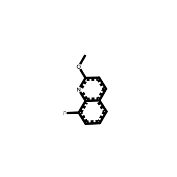 COc1ccc2cccc(F)c2n1